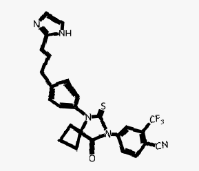 N#Cc1ccc(N2C(=O)C3(CCC3)N(c3ccc(CCCc4ncc[nH]4)cc3)C2=S)cc1C(F)(F)F